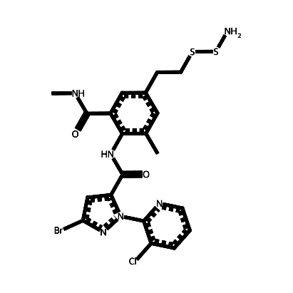 CNC(=O)c1cc(CCSSN)cc(C)c1NC(=O)c1cc(Br)nn1-c1ncccc1Cl